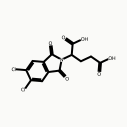 O=C(O)CCC(C(=O)O)N1C(=O)c2cc(Cl)c(Cl)cc2C1=O